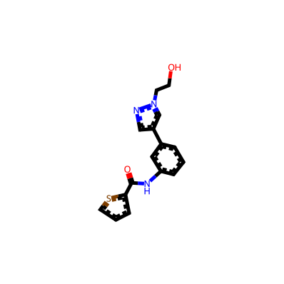 O=C(Nc1cccc(-c2cnn(CCO)c2)c1)c1cccs1